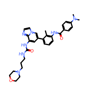 Cc1c(NC(=O)c2ccc(N(C)C)cc2)cccc1-c1cc(NC(=O)NCCCN2CCOCC2)c2nccn2c1